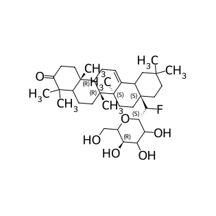 CC1(C)CC[C@]2(C(F)[C@H]3OC(CO)[C@H](O)C(O)C3O)CC[C@]3(C)C(=CCC4[C@@]5(C)CCC(=O)C(C)(C)C5CC[C@]43C)C2C1